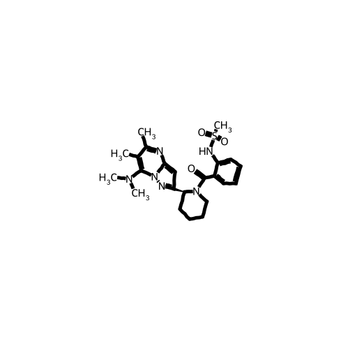 Cc1nc2cc([C@@H]3CCCCN3C(=O)c3ccccc3NS(C)(=O)=O)nn2c(N(C)C)c1C